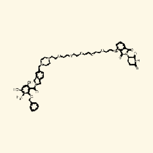 Cc1c(O)cc(O)c(C(=O)N2Cc3ccc(CN4CCN(CCOCCOCCOCCOCCOCCNc5cccc6c5C(=O)N(C5CCC(=O)NC5=O)C6=O)CC4)cc3C2)c1OCc1ccccc1